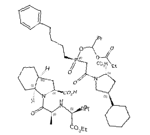 CCC(=O)OC(O[P@](=O)(CCCCc1ccccc1)CC(=O)N1C[C@H](C2CCCCC2)C[C@H]1C(=O)O)C(C)C.CCC[C@H](N[C@@H](C)C(=O)N1[C@H](C(=O)O)C[C@@H]2CCCC[C@@H]21)C(=O)OCC